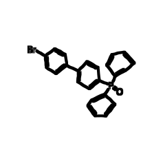 O=P(c1ccccc1)(c1ccccc1)c1ccc(-c2ccc(Br)cc2)cc1